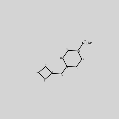 CC(=O)NC1CCC(CC2CCC2)CC1